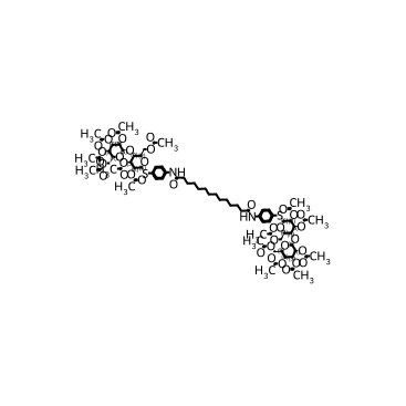 CC(=O)OC[C@H]1O[C@@H](Sc2ccc(NC(=O)CCCCCCCCCCCCC(=O)Nc3ccc(S[C@@H]4O[C@H](COC(C)=O)[C@@H](O[C@@H]5O[C@H](COC(C)=O)[C@@H](OC(C)=O)[C@H](OC(C)=O)[C@H]5OC(C)=O)[C@H](OC(C)=O)[C@H]4OC(C)=O)cc3)cc2)[C@H](OC(C)=O)[C@@H](OC(C)=O)[C@@H]1O[C@@H]1O[C@H](COC(C)=O)[C@@H](OC(C)=O)[C@H](OC(C)=O)[C@H]1OC(C)=O